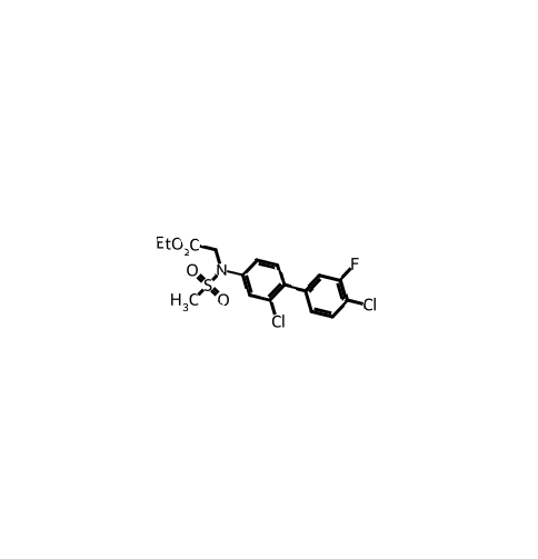 CCOC(=O)CN(c1ccc(-c2ccc(Cl)c(F)c2)c(Cl)c1)S(C)(=O)=O